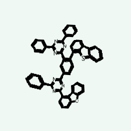 c1ccc(-c2nc(-c3ccccc3)nc(-c3cc(-c4nc(-c5ccccc5)nc(-c5cccc6oc7ccccc7c56)n4)ccc3-c3cccc4c3sc3ccccc34)n2)cc1